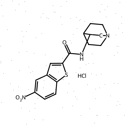 Cl.O=C(NC1CN2CCC1CC2)c1cc2cc([N+](=O)[O-])ccc2s1